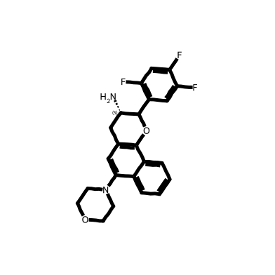 N[C@H]1Cc2cc(N3CCOCC3)c3ccccc3c2OC1c1cc(F)c(F)cc1F